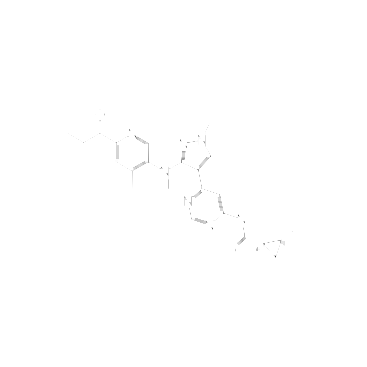 CC[C@H](O)c1cc(C)c(Nc2nn(C)cc2-c2cc(NC(=O)[C@H]3C[C@H]3F)ncn2)cn1